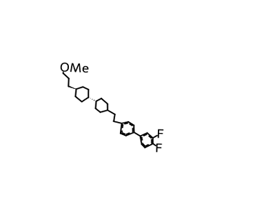 COCCC[C@H]1CC[C@H](C2CCC(CCc3ccc(-c4ccc(F)c(F)c4)cc3)CC2)CC1